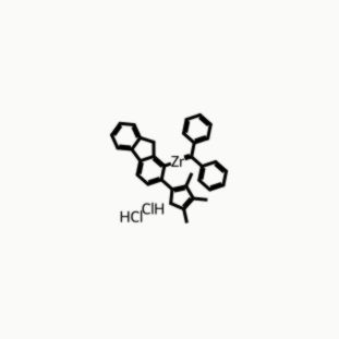 CC1=C(C)C(C)=C(c2ccc3c([c]2[Zr]=[C](c2ccccc2)c2ccccc2)Cc2ccccc2-3)C1.Cl.Cl